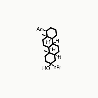 CCC[C@@]1(O)CC[C@@]2(C)[C@@H](CC[C@@H]3[C@@H]2CC[C@]2(C)[C@@H](C(C)=O)CCC[C@@H]32)C1